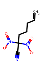 C=CCCCC(C#N)([N+](=O)[O-])[N+](=O)[O-]